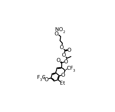 CCc1cc(OC(F)(F)F)cc2c1O[C@H](C(F)(F)F)C(C(=O)OC(C)OC(=O)OCCCO[N+](=O)[O-])=C2